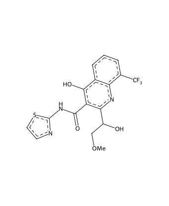 COCC(O)c1nc2c(C(F)(F)F)cccc2c(O)c1C(=O)Nc1nccs1